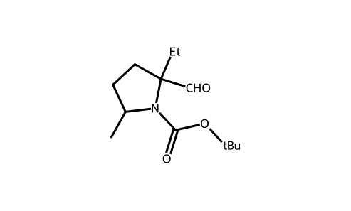 CCC1(C=O)CCC(C)N1C(=O)OC(C)(C)C